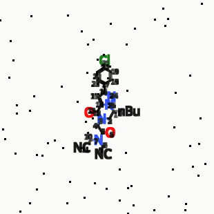 CCCCC1CN(CC(=O)N(CC#N)CC#N)C(=O)c2cc(-c3ccc(Cl)cc3)nn21